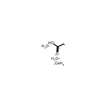 CC(=O)O.O.O.[GeH4]